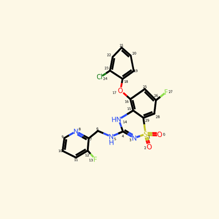 O=S1(=O)N=C(NCc2ncccc2F)Nc2c(Oc3ccccc3Cl)cc(F)cc21